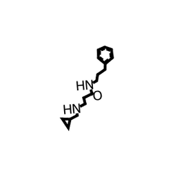 O=C(CCNCC1CC1)NCCCc1ccccc1